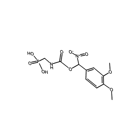 COc1ccc(C(OC(=O)NCP(=O)(O)O)[N+](=O)[O-])cc1OC